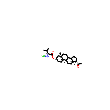 CC(=O)[C@H]1CCC2C3CC[C@@H]4C[C@@H](OC(=O)[C@@H](NCl)C(C)C)CC[C@]4(C)C3CC[C@@]21C